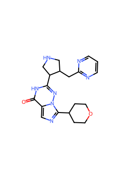 O=c1[nH]c(C2CNCC2Cc2ncccn2)nn2c(C3CCOCC3)ncc12